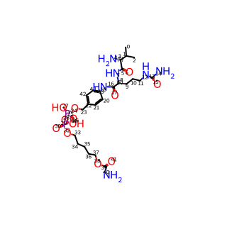 CC(C)[C@@H](N)C(=O)N[C@@H](CCCNC(N)=O)C(=O)Nc1ccc(COP(=O)(O)OP(=O)(O)OCCCCCOC(N)=O)cc1